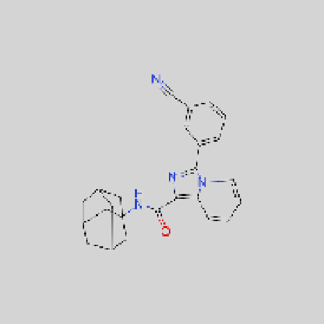 N#Cc1cccc(-c2nc(C(=O)NC34CC5CC(CC(C5)C3)C4)c3ccccn23)c1